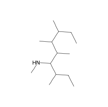 CCC(C)C(C)C(C)C(NC)C(C)CC